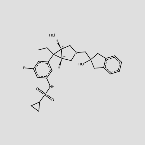 CCC1(c2cc(F)cc(NS(=O)(=O)C3CC3)c2)[C@@H]2CN(CC3(O)Cc4ccccc4C3)C[C@@H]21.Cl